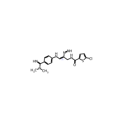 CN(C)C(=N)c1ccc(N/C=C(/CNC(=O)c2ccc(Cl)s2)N=N)cc1